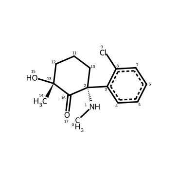 CN[C@@]1(c2ccccc2Cl)CCC[C@@](C)(O)C1=O